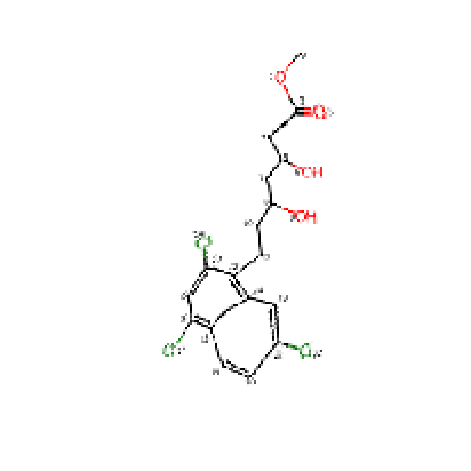 COC(=O)CC(O)CC(O)CCc1c(Cl)cc(Cl)c2ccc(Cl)cc12